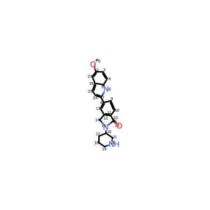 COc1ccc2nc(-c3ccc4c(c3)CN(C3CCCNC3)C4=O)ccc2c1